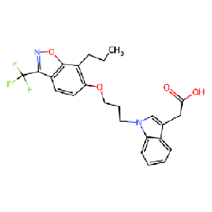 CCCc1c(OCCCn2cc(CC(=O)O)c3ccccc32)ccc2c(C(F)(F)F)noc12